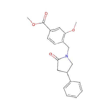 COC(=O)c1ccc(CN2CC(c3ccccc3)CC2=O)c(OC)c1